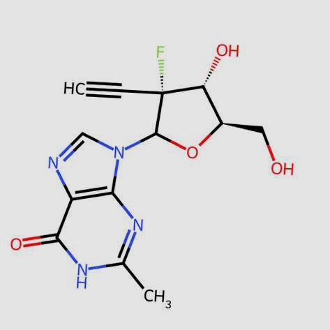 C#C[C@]1(F)C(n2cnc3c(=O)[nH]c(C)nc32)O[C@H](CO)[C@H]1O